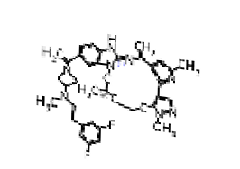 C=C1/N=C2\Nc3ccc(C(=C)N4CC(N(C)CCc5cc(F)cc(F)c5)C4)cc3N2C[C@H](C)CCCCc2c(cnn2C)-c2cc1cc(C)n2